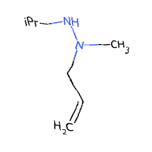 C=CCN(C)NC(C)C